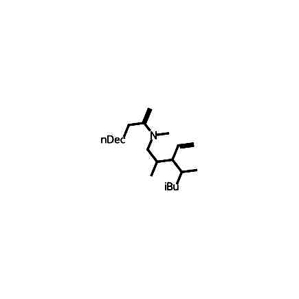 C=CC(C(C)CN(C)C(=C)CCCCCCCCCCC)C(C)C(C)CC